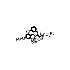 CCOC(=O)C(F)(F)C(O)[C@H](Cc1cccc(Cl)c1)N(Cc1ccc(OC)cc1)C(=O)OC(C)(C)C